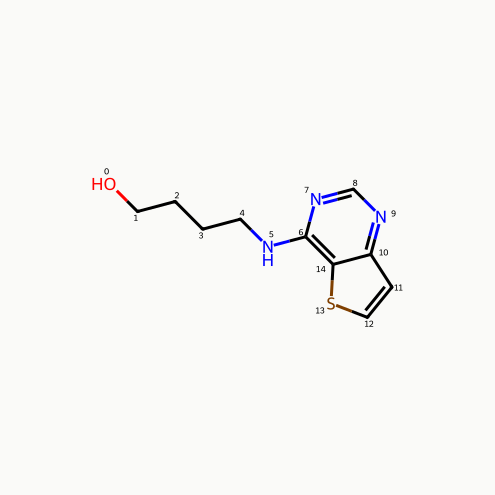 OCCCCNc1ncnc2ccsc12